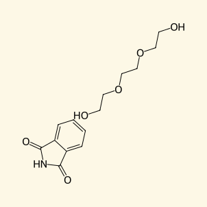 O=C1NC(=O)c2ccccc21.OCCOCCOCCO